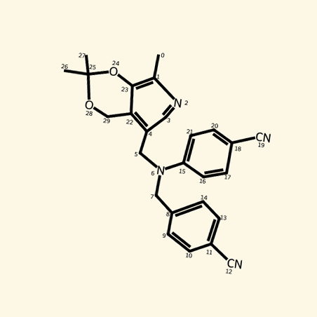 Cc1ncc(CN(Cc2ccc(C#N)cc2)c2ccc(C#N)cc2)c2c1OC(C)(C)OC2